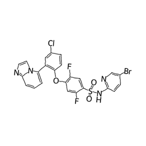 O=S(=O)(Nc1ccc(Br)cn1)c1cc(F)c(Oc2ccc(Cl)cc2-c2cccc3nccn23)cc1F